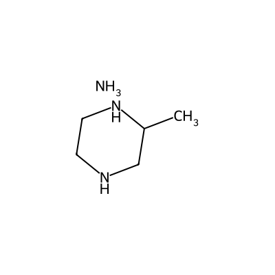 CC1CNCCN1.N